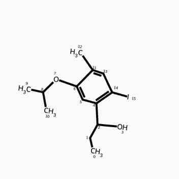 CCC(O)c1cc(OC(C)C)c(C)cc1I